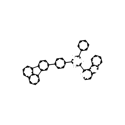 c1ccc(-c2nc(-c3ccc(-c4ccc5c(c4)-c4cccc6cccc-5c46)cc3)nc(-c3nccc4oc5ccccc5c34)n2)cc1